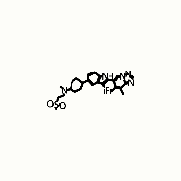 Cc1c(-c2[nH]c3ccc(C4CCC(N(C)CCS(C)(=O)=O)CC4)cc3c2C(C)C)cn2ncnc2c1C